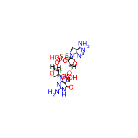 Nc1nc2c(ncn2[C@@]23CO[C@H](COP(O)(=S)O[C@@H]4[C@@H](COP(O)(=S)O2)OC[C@]4(F)n2ccc4c(N)ncnc42)[C@H]3F)c(=O)[nH]1